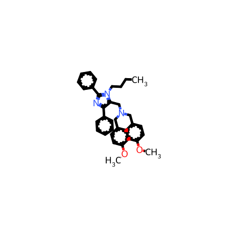 CCCCn1c(-c2ccccc2)nc(-c2ccccc2)c1CN(Cc1ccc(OC)cc1)Cc1ccc(OC)cc1